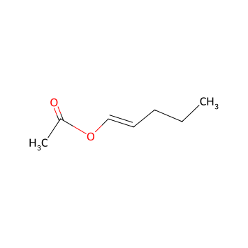 CCC/C=C/OC(C)=O